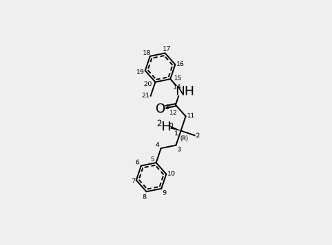 [2H][C@@](C)(CCc1ccccc1)CC(=O)Nc1ccccc1C